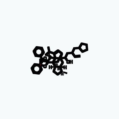 C=CC(CC1CCCC1)CC(O)C12C[C@@H]3[C@H](C)CC[C@H]3C3(C4OCCO4)CC1C=C(C(C)C)C23C(=O)OC(c1ccccc1)c1ccccc1